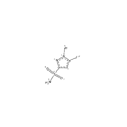 CC(C)n1nc(S(N)(=O)=O)cc1F